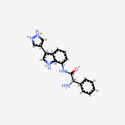 N[C@@H](C(=O)Nc1cccc2c(-c3cn[nH]c3)c[nH]c12)c1ccccc1